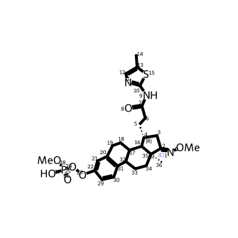 CO/N=C1\C[C@@H](CCC(=O)Nc2ncc(C)s2)C2C3CCc4cc(OOP(=O)(O)OC)ccc4C3CC[C@]12C